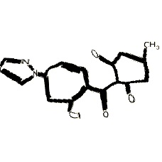 CC1CC(=O)C(C(=O)c2ccc(-n3cncn3)cc2Cl)C(=O)C1